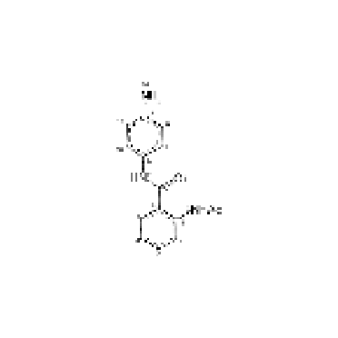 CC(=O)Nc1ccccc1C(=O)Nc1ccc(N)cc1